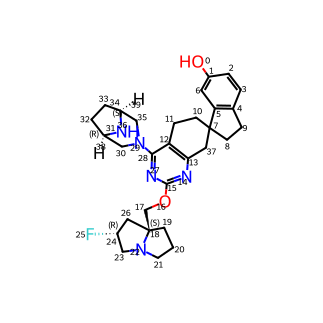 Oc1ccc2c(c1)C1(CC2)CCc2c(nc(OC[C@@]34CCCN3C[C@H](F)C4)nc2N2C[C@H]3CC[C@@H](C2)N3)C1